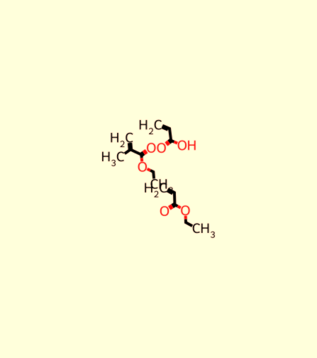 C=C(C)C(=O)OCC.C=CC(=O)O.C=CC(=O)OCC